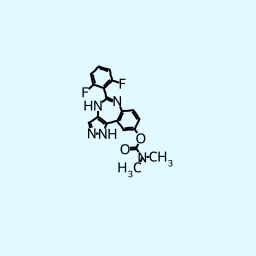 CN(C)C(=O)Oc1ccc2c(c1)-c1[nH]ncc1NC(c1c(F)cccc1F)=N2